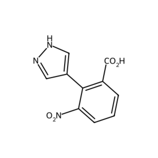 O=C(O)c1cccc([N+](=O)[O-])c1-c1cn[nH]c1